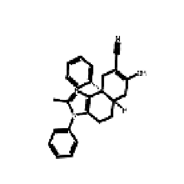 Cc1nc2c(n1-c1ccccc1)CC[C@H]1CC(O)=C(C#N)C[C@]21c1ccccc1